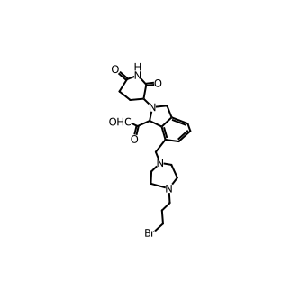 O=CC(=O)C1c2c(CN3CCN(CCCBr)CC3)cccc2CN1C1CCC(=O)NC1=O